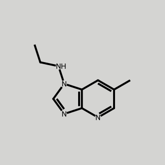 CCNn1cnc2ncc(C)cc21